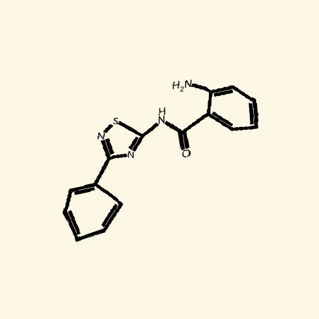 Nc1ccccc1C(=O)Nc1nc(-c2ccccc2)ns1